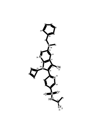 C[C@H](NS(=O)(=O)c1ccc(-c2c(C#N)c3cc(N(C)Cc4ccccc4)cnc3n2C2=CC=C2)nc1)C(F)(F)F